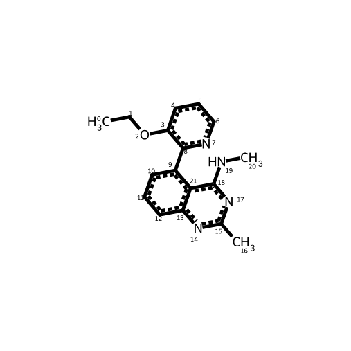 CCOc1cccnc1-c1cccc2nc(C)nc(NC)c12